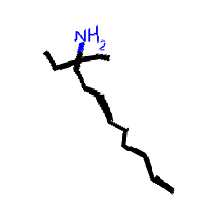 C=CCCCC=CCC(C)(N)CC